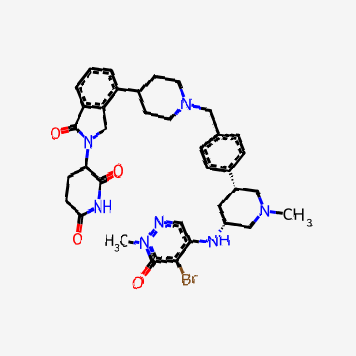 CN1C[C@H](Nc2cnn(C)c(=O)c2Br)C[C@H](c2ccc(CN3CCC(c4cccc5c4CN(C4CCC(=O)NC4=O)C5=O)CC3)cc2)C1